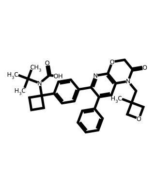 CC1(CN2C(=O)COc3nc(-c4ccc(C5(N(C(=O)O)C(C)(C)C)CCC5)cc4)c(-c4ccccc4)cc32)COC1